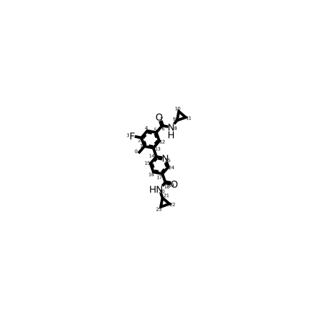 Cc1c(F)cc(C(=O)NC2CC2)cc1-c1ccc(C(=O)NC2CC2)cn1